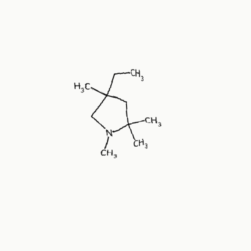 CCC1(C)CN(C)C(C)(C)C1